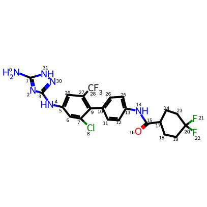 Nc1nc(Nc2cc(Cl)c(-c3ccc(NC(=O)C4CCC(F)(F)CC4)cc3)c(C(F)(F)F)c2)n[nH]1